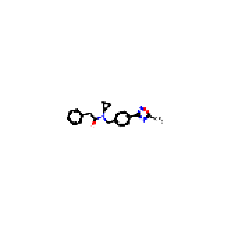 O=C(Cc1ccccc1)N(Cc1ccc(-c2noc(C(F)(F)F)n2)cc1)C1CC1